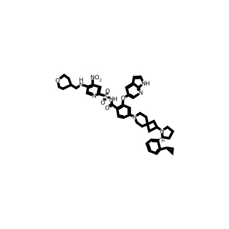 O=C(NS(=O)(=O)c1cc([N+](=O)[O-])c(NCC2CCOCC2)cn1)c1ccc(N2CCC3(CC2)CC(N2CCC[C@@H]2c2ccccc2C2CC2)C3)cc1Oc1cnc2[nH]ccc2c1